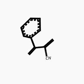 C=C(C#N)C(=C)c1ccccc1